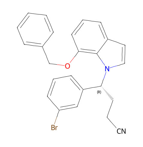 N#CCC[C@H](c1cccc(Br)c1)n1ccc2cccc(OCc3ccccc3)c21